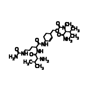 CC(C)C(C(N)=O)N(C)C(=O)OCC1C=CC(NC(=O)C(CCCNC(N)=O)NC(=O)[C@H](N)C(C)C)CC1